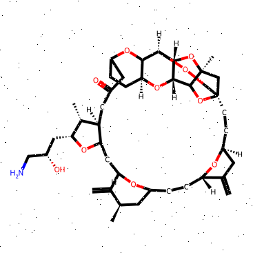 C=C1C[C@@H]2CC[C@@]34C[C@]5(C)O[C@H]6[C@@H](O3)C3OC(CC[C@@H]3O[C@H]6C5O4)CC(=O)C[C@H]3C(C[C@H]4OC(CC[C@@H]1O2)C[C@@H](C)C4=C)O[C@H](C[C@H](O)CN)[C@@H]3C